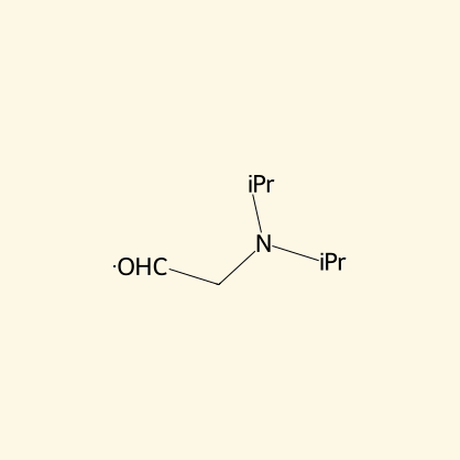 CC(C)N(C[C]=O)C(C)C